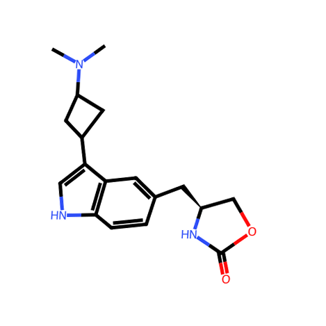 CN(C)C1CC(c2c[nH]c3ccc(C[C@H]4COC(=O)N4)cc23)C1